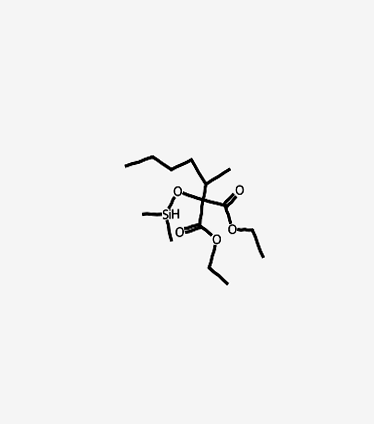 CCCCC(C)C(O[SiH](C)C)(C(=O)OCC)C(=O)OCC